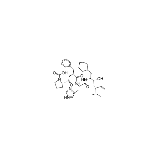 C=C[C@@H](C[C@@H](O)[C@H](CC1CCCCC1)NC(=O)[C@H](Cc1c[nH]cn1)NC(=O)[C@@H](CC(=O)[C@@H]1CCCN1C(=O)O)Cc1ccccc1)C(C)C